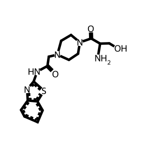 NC(CO)C(=O)N1CCN(CC(=O)Nc2nc3ccccc3s2)CC1